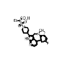 CCN(C(=O)O)S(=O)(=O)N1CC=C(c2[nH]c3nccc4c3c2CN(C)c2ccc(F)cc2-4)CC1